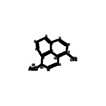 CCc1ccc2cccc3c2c1C=CC3OC(C)=O